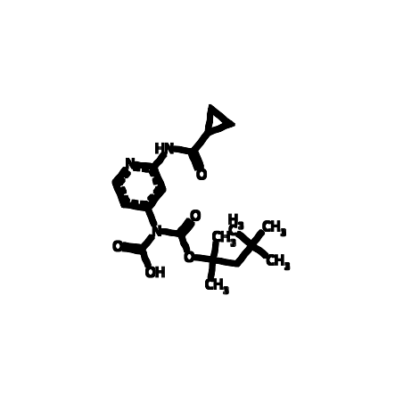 CC(C)(C)CC(C)(C)OC(=O)N(C(=O)O)c1ccnc(NC(=O)C2CC2)c1